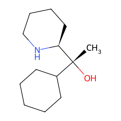 C[C@@](O)(C1CCCCC1)[C@@H]1CCCCN1